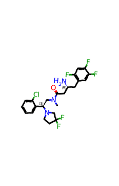 CN(C[C@H](c1ccccc1Cl)N1CCC(F)(F)C1)C(=O)C[C@H](N)Cc1cc(F)c(F)cc1F